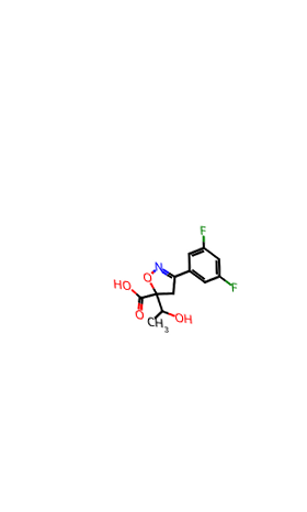 CC(O)C1(C(=O)O)CC(c2cc(F)cc(F)c2)=NO1